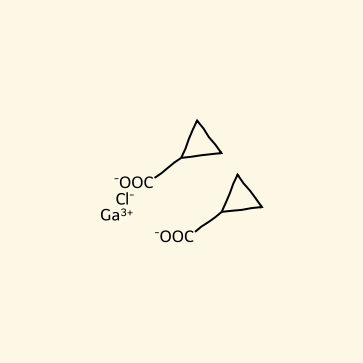 O=C([O-])C1CC1.O=C([O-])C1CC1.[Cl-].[Ga+3]